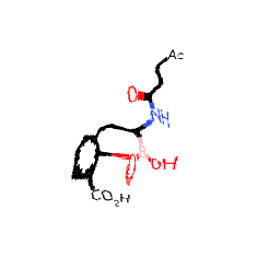 CC(=O)CCC(=O)NC1Cc2cccc(C(=O)O)c2OB1O